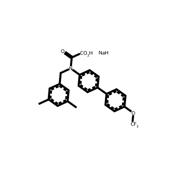 Cc1cc(C)cc(CN(C(=O)C(=O)O)c2ccc(-c3ccc(OC(F)(F)F)cc3)cc2)c1.[NaH]